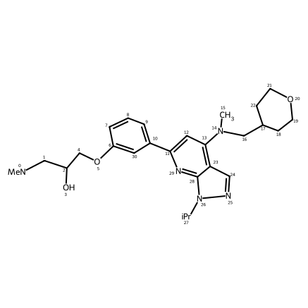 CNCC(O)COc1cccc(-c2cc(N(C)CC3CCOCC3)c3cnn(C(C)C)c3n2)c1